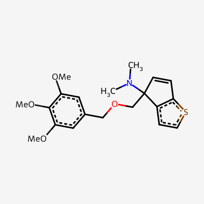 COc1cc(COCC2(N(C)C)C=Cc3sccc32)cc(OC)c1OC